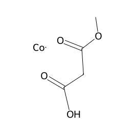 COC(=O)CC(=O)O.[Co]